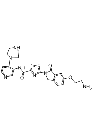 NCCOc1ccc2c(c1)C(=O)N(c1nc(C(=O)Nc3cnccc3N3CCNCC3)cs1)C2